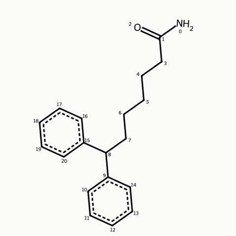 NC(=O)CCCCCC(c1ccccc1)c1ccccc1